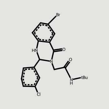 CC(C)(C)NC(=O)CN1C(=O)c2cc(Br)ccc2NC1c1cccc(Cl)c1